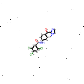 Cn1ccnc1C(=O)c1ccc(NC(=O)c2cc(F)c(Cl)cc2Cl)cc1